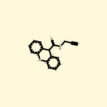 C#CCNC(=O)C1c2ccccc2Oc2ccccc21